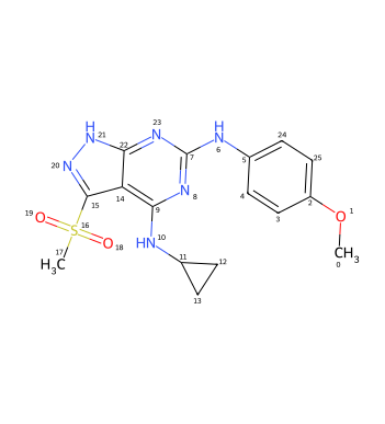 COc1ccc(Nc2nc(NC3CC3)c3c(S(C)(=O)=O)n[nH]c3n2)cc1